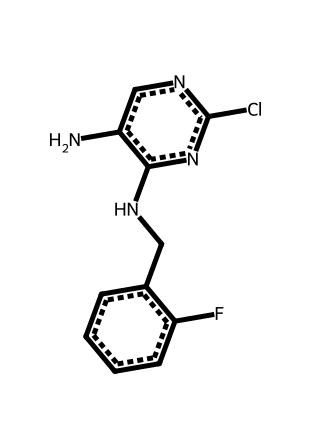 Nc1cnc(Cl)nc1NCc1ccccc1F